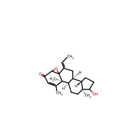 CC=C1C[C@@H]2[C@@H](CC[C@]3(C)C(O)CC[C@@H]23)[C@@]2(C)C(C)=CC(=O)C3OC132